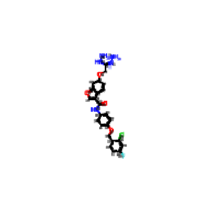 N/N=C(/COc1ccc2c(C(=O)Nc3ccc(OCc4ccc(F)cc4Cl)cc3)coc2c1)NN